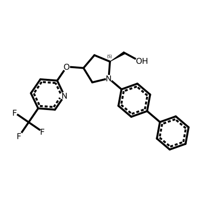 OC[C@@H]1CC(Oc2ccc(C(F)(F)F)cn2)CN1c1ccc(-c2ccccc2)cc1